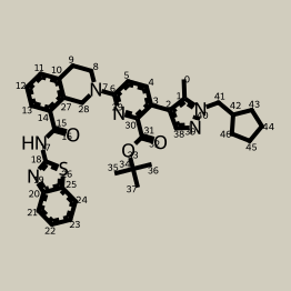 Cc1c(-c2ccc(N3CCc4cccc(C(=O)Nc5nc6ccccc6s5)c4C3)nc2C(=O)OC(C)(C)C)cnn1CC1CCCC1